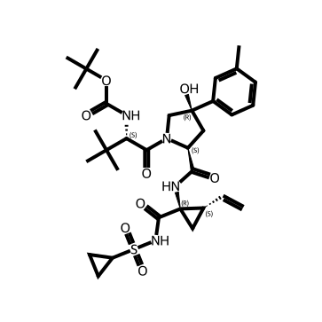 C=C[C@@H]1C[C@]1(NC(=O)[C@@H]1C[C@@](O)(c2cccc(C)c2)CN1C(=O)[C@@H](NC(=O)OC(C)(C)C)C(C)(C)C)C(=O)NS(=O)(=O)C1CC1